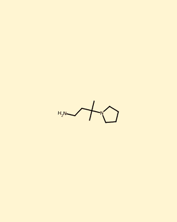 CC(C)(CCN)N1CCCC1